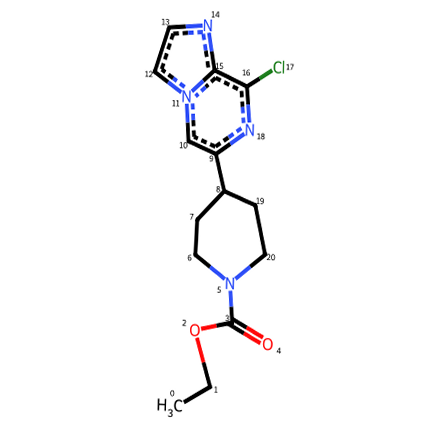 CCOC(=O)N1CCC(c2cn3ccnc3c(Cl)n2)CC1